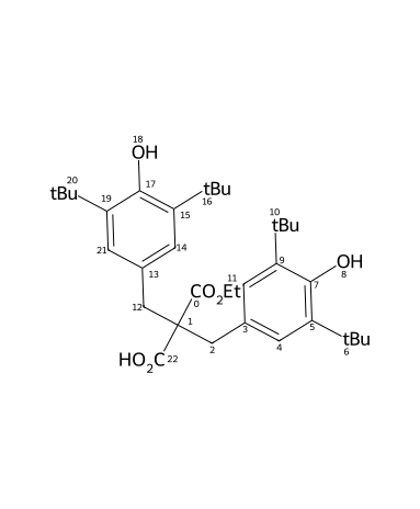 CCOC(=O)C(Cc1cc(C(C)(C)C)c(O)c(C(C)(C)C)c1)(Cc1cc(C(C)(C)C)c(O)c(C(C)(C)C)c1)C(=O)O